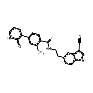 Cc1cc(-c2ccc[nH]c2=O)ccc1C(=O)NCCc1ccc2[nH]cc(C#N)c2c1